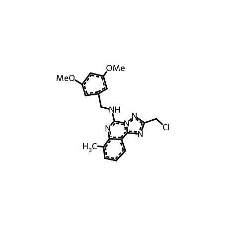 COc1cc(CNc2nc3c(C)cccc3c3nc(CCl)nn23)cc(OC)c1